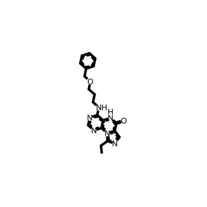 CCc1ncc2c(=O)[nH]c3c(NCCCOCc4ccccc4)ncnc3n12